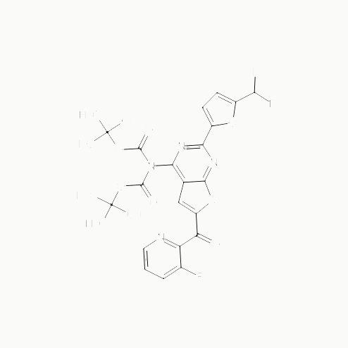 CC(C)(C)OC(=O)N(C(=O)OC(C)(C)C)c1nc(-c2ccc(C(F)F)o2)nc2sc(C(=O)c3ncccc3F)cc12